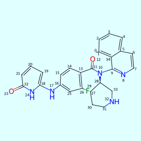 Cc1cccc2ccnc(N(C(=O)c3ccc(Nc4cccc(=O)[nH]4)cc3F)[C@@H]3CCCNC3)c12